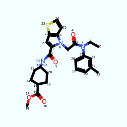 CCN(C(=O)Cn1c(C(=O)NC2CCC(C(=O)OC)CC2)cc2sccc21)c1cccc(C)c1